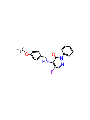 COc1ccc(CNc2c(I)cnn(-c3ccccc3)c2=O)cc1